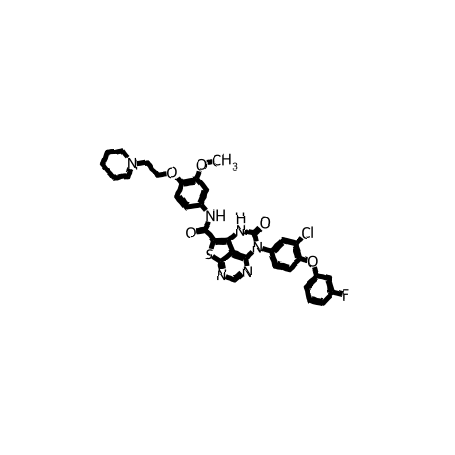 COc1cc(NC(=O)c2sc3ncnc4c3c2NC(=O)N4c2ccc(Oc3cccc(F)c3)c(Cl)c2)ccc1OCCN1CCCCC1